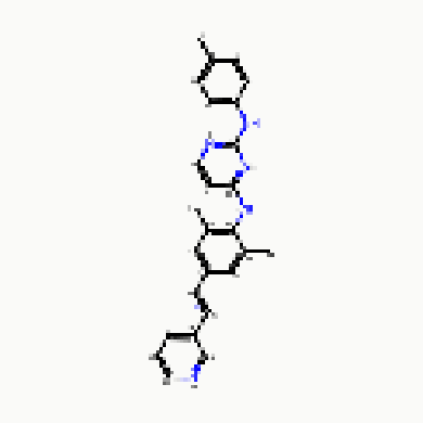 Cc1ccc(Nc2nccc(Nc3c(C)cc(/C=C/c4cccnc4)cc3C)n2)cc1